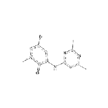 Cc1cc(Nc2cc(Br)cn(C)c2=O)nc(C)n1